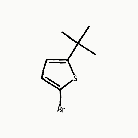 CC(C)(C)c1ccc(Br)s1